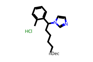 CCCCCCCCCCCCCCC(c1ccccc1C)n1ccnc1.Cl